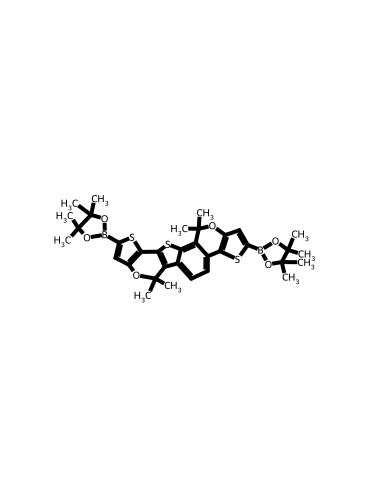 CC1(C)Oc2cc(B3OC(C)(C)C(C)(C)O3)sc2-c2sc3c4c(ccc3c21)-c1sc(B2OC(C)(C)C(C)(C)O2)cc1OC4(C)C